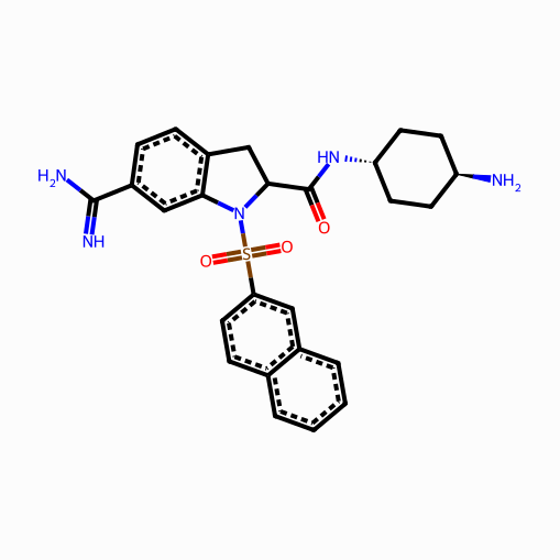 N=C(N)c1ccc2c(c1)N(S(=O)(=O)c1ccc3ccccc3c1)C(C(=O)N[C@H]1CC[C@H](N)CC1)C2